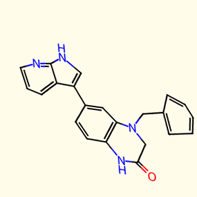 O=C1CN(Cc2ccccc2)c2cc(-c3c[nH]c4ncccc34)ccc2N1